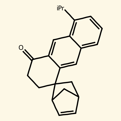 CC(C)c1cccc2cc3c(cc12)C(=O)CCC31CC2C=CC1C2